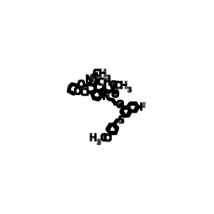 COC(=O)c1c(I)c2c(-c3c(COC4CCCCO4)nn(C)c3C)c(Cl)ccc2n1CCCOc1cc(SCc2ccc(OC)cc2)cc2cc(F)ccc12